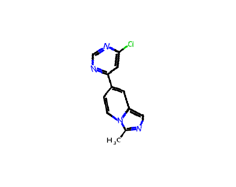 Cc1ncc2cc(-c3cc(Cl)ncn3)ccn12